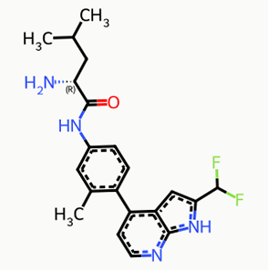 Cc1cc(NC(=O)[C@H](N)CC(C)C)ccc1-c1ccnc2[nH]c(C(F)F)cc12